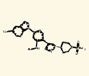 CC(C)Nc1cc(-n2ncc3cc(C#N)cnc32)ncc1-c1cn(C2CCN(S(C)(=O)=O)CC2)nn1